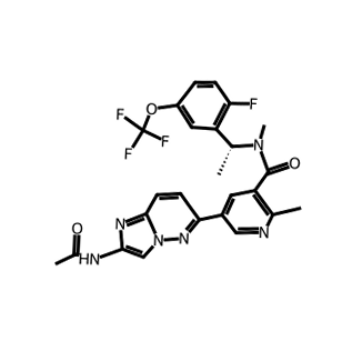 CC(=O)Nc1cn2nc(-c3cnc(C)c(C(=O)N(C)[C@H](C)c4cc(OC(F)(F)F)ccc4F)c3)ccc2n1